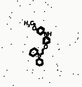 CCOc1ccc(Nc2ccc(OCCN(C3CCCCC3)C3CCCCC3)cc2)cc1